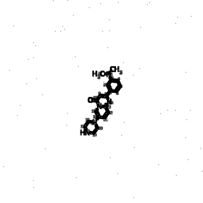 CN(C)c1cccc(-c2cc(=O)n3cc(N4CCNCC4)ccc3n2)c1